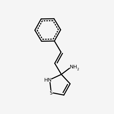 NC1(/C=C/c2ccccc2)C=CSN1